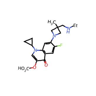 CCNCC1(C)CN(c2cc3c(cc2F)c(=O)c(OC(=O)O)cn3C2CC2)C1